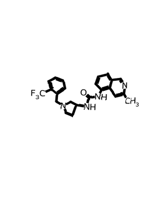 Cc1cc2c(NC(=O)NC3CCN(Cc4ccccc4C(F)(F)F)C3)cccc2cn1